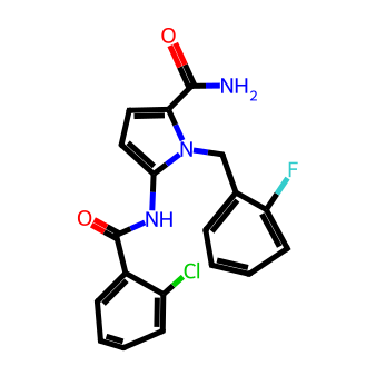 NC(=O)c1ccc(NC(=O)c2ccccc2Cl)n1Cc1ccccc1F